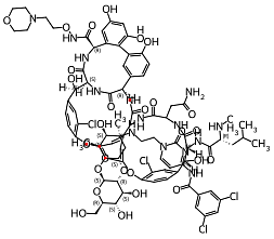 CN[C@H](CC(C)C)C(=O)N[C@H]1C(=O)NC(CC(N)=O)C(=O)NC2C(=O)N[C@H]3C(=O)N[C@H](C(=O)N[C@@H](C(=O)NOCCN4CCOCC4)c4cc(O)cc(O)c4-c4cc3ccc4O)[C@H](O)c3ccc(c(Cl)c3)Oc3cc2cc(c3O[C@@H]2O[C@H](CO)[C@@H](O)[C@H](O)[C@H]2O[C@H]2C[C@](C)(NCCn3ccc(NC(=O)c4cc(Cl)cc(Cl)c4)nc3=O)[C@H](O)[C@H](C)O2)Oc2ccc(cc2Cl)[C@H]1O